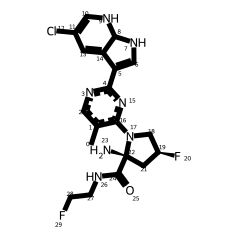 Cc1cnc(C2=CNC3NC=C(Cl)C=C23)nc1N1C[C@@H](F)C[C@]1(N)C(=O)NCCF